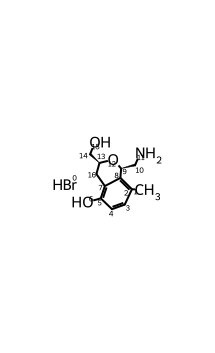 Br.Cc1ccc(O)c2c1[C@H](CN)O[C@H](CO)C2